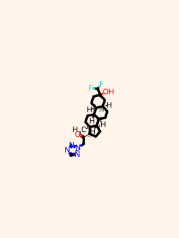 C[C@]12CC[C@H]3[C@@H](CC[C@@H]4C[C@@](O)(C(F)F)CC[C@@H]43)[C@@H]1CC[C@@H]2C(=O)Cn1ncnn1